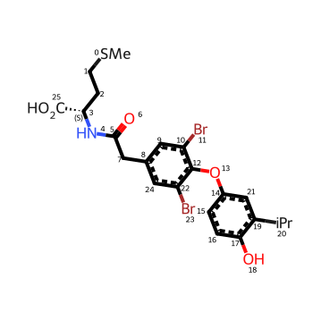 CSCC[C@H](NC(=O)Cc1cc(Br)c(Oc2ccc(O)c(C(C)C)c2)c(Br)c1)C(=O)O